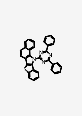 c1ccc(-c2nc(-c3ccccc3)nc(-n3c4c5ccccc5ccc4c4sc5ccccc5c43)n2)cc1